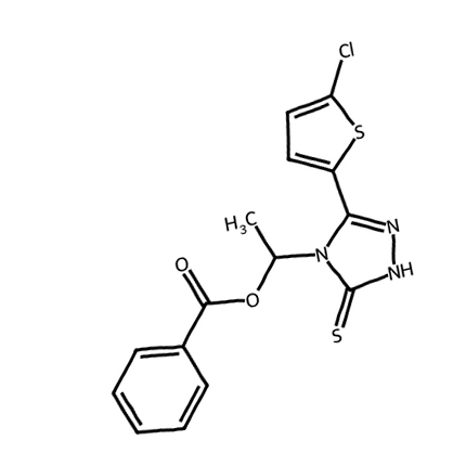 CC(OC(=O)c1ccccc1)n1c(-c2ccc(Cl)s2)n[nH]c1=S